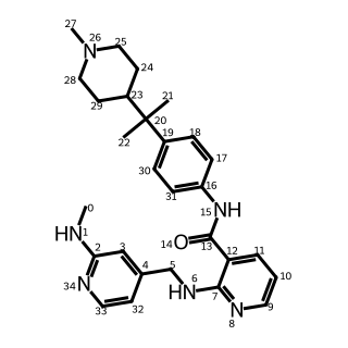 CNc1cc(CNc2ncccc2C(=O)Nc2ccc(C(C)(C)C3CCN(C)CC3)cc2)ccn1